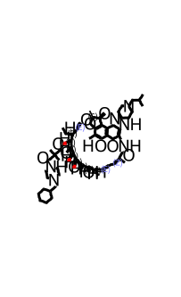 CC[C@H]1/C=C/O[C@@]2(C)Oc3c(C)c(O)c4c(c3C2=O)C2=NC3(CCN(CC(C)C)CC3)NC2=C(NC(=O)/C(C)=C\C=C\[C@H](C)[C@H](O)[C@@H](C)[C@@H](O)[C@@H](C)[C@H](OC(=O)C(C)(C)C(=O)N2CCN(CC3CCCCC3)CC2)[C@@H]1C)C4=O